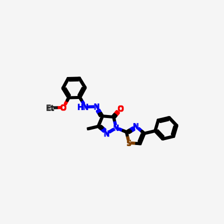 CCOc1ccccc1NN=C1C(=O)N(c2nc(-c3ccccc3)cs2)N=C1C